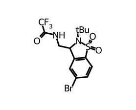 CC(C)(C)N1C(CNC(=O)C(F)(F)F)c2cc(Br)ccc2S1(=O)=O